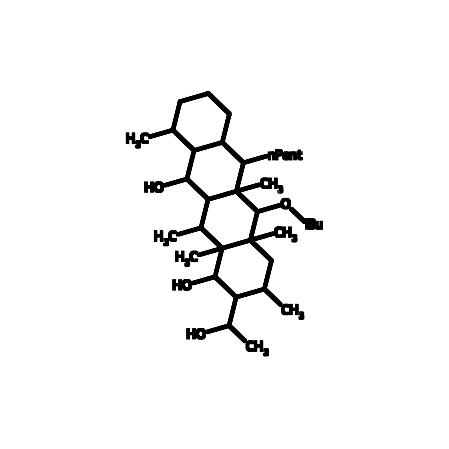 CCCCCC1C2CCCC(C)C2C(O)C2C(C)C3(C)C(O)C(C(C)O)C(C)CC3(C)C(OC(C)CC)C12C